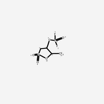 O=P(F)(F)OC1CS(=O)(=O)OC1C(F)(F)F